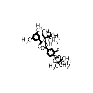 CCC(N(NC(=O)c1ccc(B2OC(C)(C)C(C)(C)O2)c(F)c1)C(=O)c1cc(C)cc(C)c1)C(C)(C)C